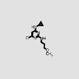 COCCCNc1nc(Cl)cc(NC2CC2)n1